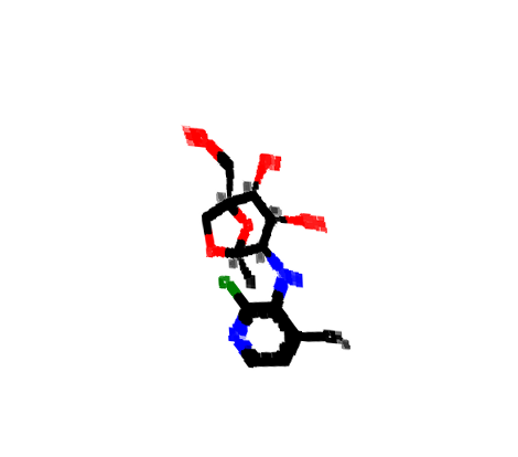 Cc1ccnc(Cl)c1N[C@H]1[C@H]2OC[C@](CO)(O2)[C@H](O)[C@@H]1O